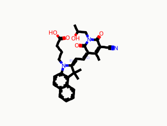 CC1=C(C#N)C(=O)N(CC(C)O)C(=O)/C1=C\C=C1\N(CCCC(=O)O)c2ccc3ccccc3c2C1(C)C